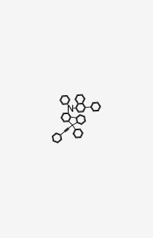 C(#CC1(c2ccccc2)c2ccccc2-c2c(N(c3ccccc3)c3ccc(-c4ccccc4)c4ccccc34)cccc21)c1ccccc1